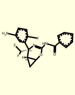 Nc1ccc(F)c([C@@]2(C(F)F)N=C(NC(=O)c3ccccc3)OC3C[C@@H]32)c1